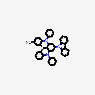 N#Cc1ccc2c(c1)B1c3ccccc3N(c3ccccc3)c3cc(-n4c5ccccc5c5ccccc54)cc(c31)N2c1ccccc1